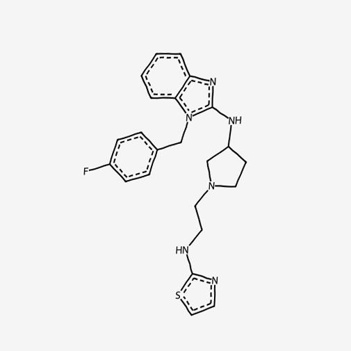 Fc1ccc(Cn2c(NC3CCN(CCNc4nccs4)C3)nc3ccccc32)cc1